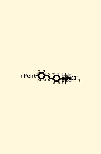 CCCCC[C@H]1CC[C@H](CC[C@H]2CC[C@H](C(F)(F)C(F)(F)C(F)(F)C(F)(F)F)CC2)CC1